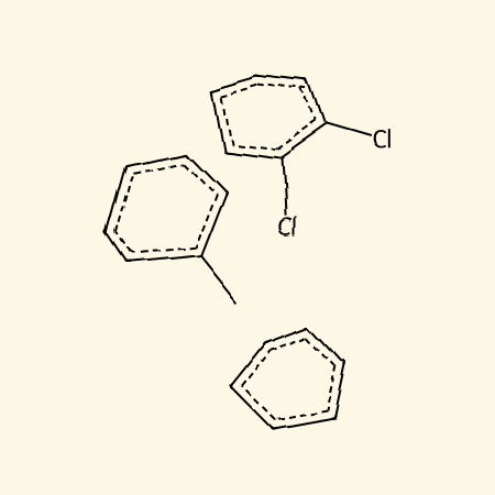 Cc1ccccc1.Clc1ccccc1Cl.c1ccccc1